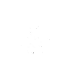 CCOC(=O)[C@@H]1C[C@@H]1Oc1cc(Cl)c(Cl)c2[nH]cc(I)c12